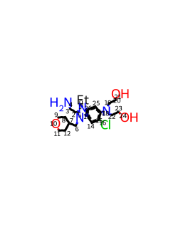 CCn1c(CN)[n+](CC2CCOCC2)c2cc(Cl)c(N(CCO)CCO)cc21